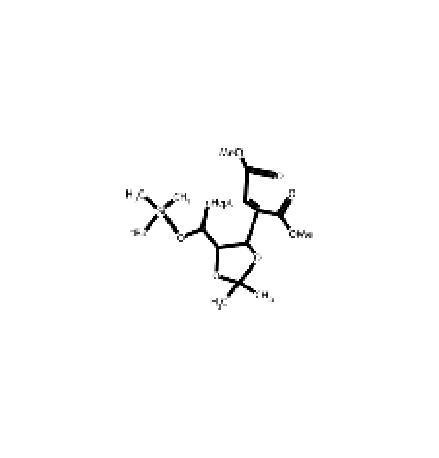 CCCCCCCC(O[Si](C)(C)C(C)(C)C)C1OC(C)(C)OC1C(=CC(=O)OC)C(=O)OC